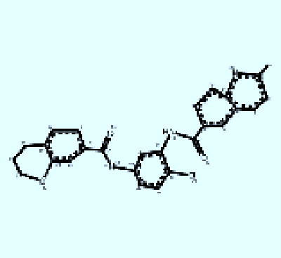 Cc1ccc2cc(C(=O)Nc3cc(NC(=O)c4ccc5c(c4)OCCC5)ccc3Cl)ccc2n1